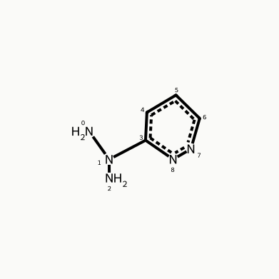 NN(N)c1cccnn1